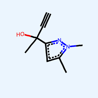 C#CC(C)(O)c1cc(C)n(C)n1